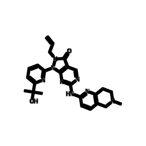 C=CCn1c(=O)c2cnc(Nc3ccc4c(n3)CCN(C)C4)nc2n1-c1cccc(C(C)(C)O)n1